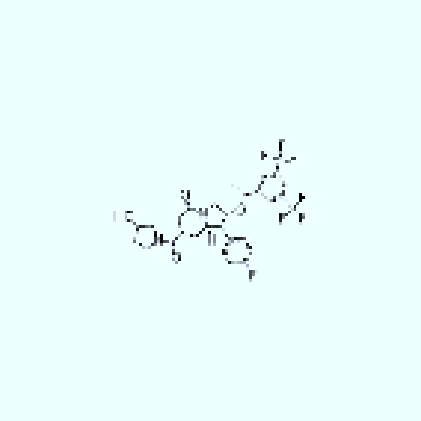 C[C@@H](O[C@H]1CN2C(=O)CC(C(=O)N3CC[C@@H](O)C3)C[C@H]2C1c1ccc(F)cc1)c1cc(C(F)(F)F)cc(C(F)(F)F)c1